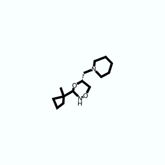 CC1(C2NOC[C@@H](CN3CCCCC3)O2)CCC1